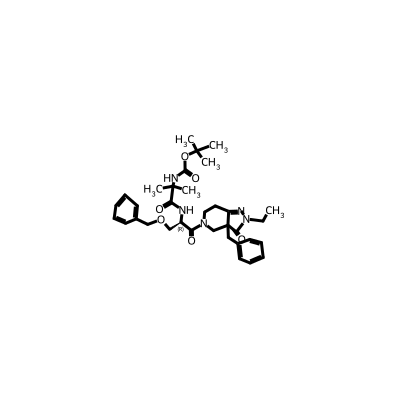 CCN1N=C2CCN(C(=O)[C@@H](COCc3ccccc3)NC(=O)C(C)(C)NC(=O)OC(C)(C)C)CC2(Cc2ccccc2)C1=O